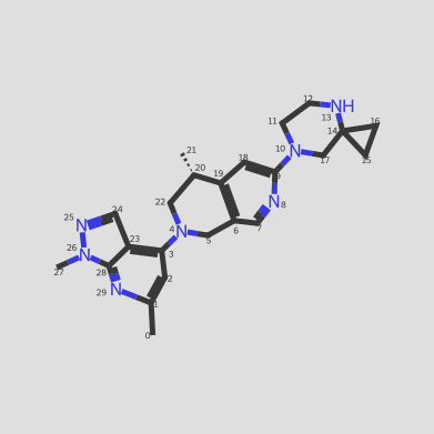 Cc1cc(N2Cc3cnc(N4CCNC5(CC5)C4)cc3[C@@H](C)C2)c2cnn(C)c2n1